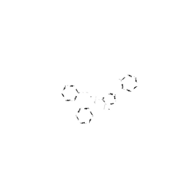 Cc1ccccc1-c1cnc(N(Cc2ccccc2)c2ccccc2)s1